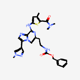 Cc1cc(Nc2nc(CCNC(=O)OCc3ccccc3)cn3c(-c4cnn(C)c4)cnc23)sc1C(=O)N(C)C